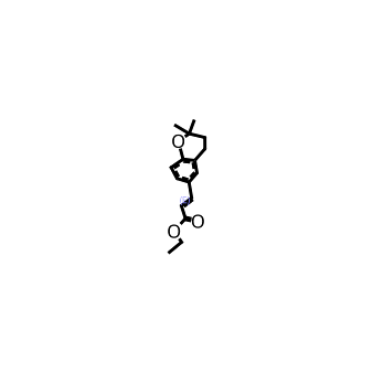 CCOC(=O)/C=C/c1ccc2c(c1)CCC(C)(C)O2